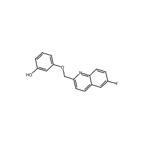 Oc1cccc(OCc2ccc3cc(F)ccc3n2)c1